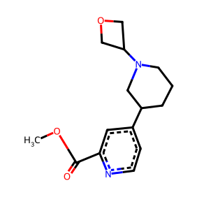 COC(=O)c1cc(C2CCCN(C3COC3)C2)ccn1